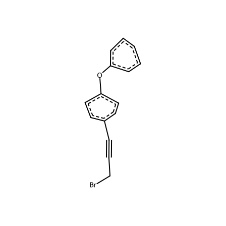 BrCC#Cc1ccc(Oc2ccccc2)cc1